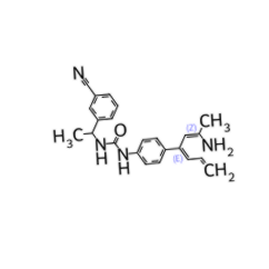 C=C/C=C(\C=C(\C)N)c1ccc(NC(=O)NC(C)c2cccc(C#N)c2)cc1